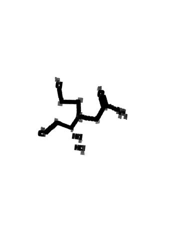 Cl.Cl.NC(=O)CN(CCCl)CCCl